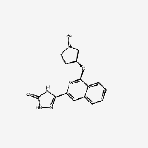 CC(=O)N1CC[C@H](Oc2nc(-c3n[nH]c(=O)[nH]3)cc3ccccc23)C1